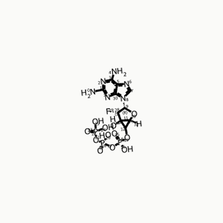 Nc1nc(N)c2ncn([C@@H]3O[C@@H]4C(OP(=O)(O)OP(=O)(O)OP(=O)(O)O)[C@]4(O)[C@@H]3F)c2n1